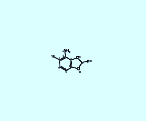 Nc1c(F)ccc2c1OC(F)O2